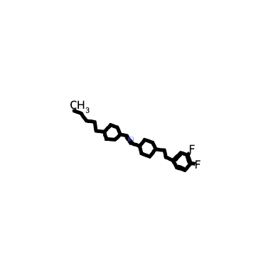 CCCCCCC1CCC(/C=C/C2CCC(CCc3ccc(F)c(F)c3)CC2)CC1